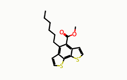 CCCCCCc1c(C(=O)OC)c2ccsc2c2sccc12